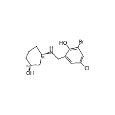 Oc1c(Br)cc(Cl)cc1CN[C@@H]1CCC[C@H](O)C1